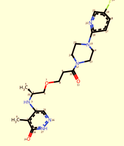 Cc1c(N[C@@H](C)COCCC(=O)N2CCN(c3ccc(F)cn3)CC2)cn[nH]c1=O